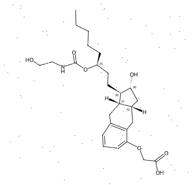 CCCCC[C@@H](CC[C@@H]1[C@H]2Cc3cccc(OCC(=O)O)c3C[C@H]2C[C@H]1O)OC(=O)NCCO